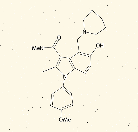 CNC(=O)c1c(C)n(-c2ccc(OC)cc2)c2ccc(O)c(CN3CCCCC3)c12